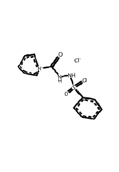 O=C(NNS(=O)(=O)c1ccccc1)[n+]1ccccc1.[Cl-]